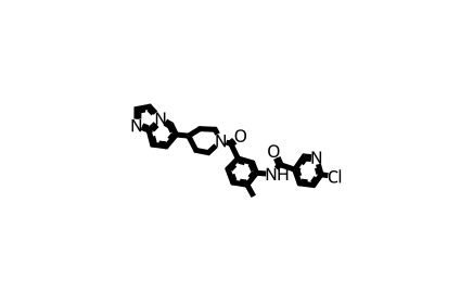 Cc1ccc(C(=O)N2CCC(c3ccc4nccn4c3)CC2)cc1NC(=O)c1ccc(Cl)nc1